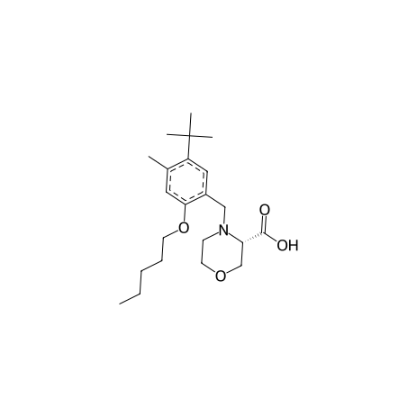 CCCCCOc1cc(C)c(C(C)(C)C)cc1CN1CCOC[C@H]1C(=O)O